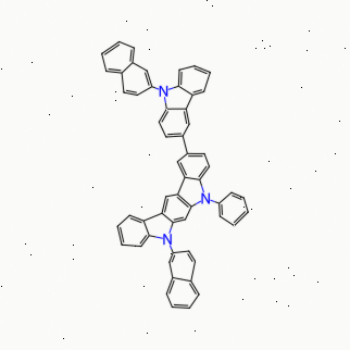 c1ccc(-n2c3ccc(-c4ccc5c(c4)c4ccccc4n5-c4ccc5ccccc5c4)cc3c3cc4c5ccccc5n(-c5ccc6ccccc6c5)c4cc32)cc1